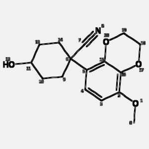 COc1ccc(C2(C#N)CCC(O)CC2)c2c1OCCO2